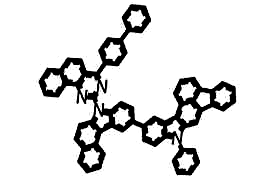 c1ccc(-c2ccc(-c3nc(-n4c5ccc(-c6ccc7c(c6)c6c8cccc9c8c(cc6n7-c6ccccc6)-c6ccccc6-9)cc5c5c6ccccc6ccc54)nc4c3ccc3ccccc34)cc2)cc1